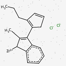 CCCC1=C(C2=C(C)[CH]([Zr+2])c3ccccc32)CC=C1.[Cl-].[Cl-]